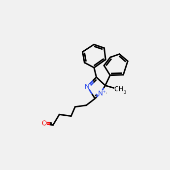 CC1(c2ccccc2)[N+]=C(CCCCC=O)N=C1c1ccccc1